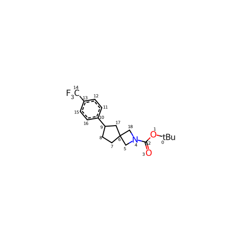 CC(C)(C)OC(=O)N1CC2(CCC(c3ccc(C(F)(F)F)cc3)C2)C1